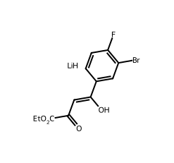 CCOC(=O)C(=O)C=C(O)c1ccc(F)c(Br)c1.[LiH]